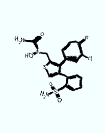 NC(=O)N(O)Cc1scc(-c2ccccc2S(N)(=O)=O)c1-c1ccc(F)c(Cl)c1